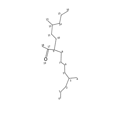 CCCC(C)CCCCC(CCC(C)CCC)C(C)=O